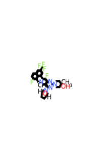 C#Cc1c(F)ccc2cc(C(F)(F)F)cc(-c3ncc4c(N5C[C@H]6CC[C@@H](C5)O6)nc(N5CCC(C)(O)CC5)nc4c3F)c12